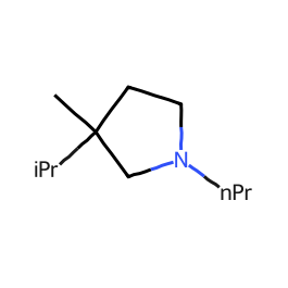 CCCN1CCC(C)(C(C)C)C1